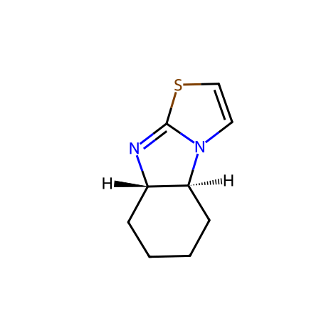 C1=CN2C(=N[C@H]3CCCC[C@@H]32)S1